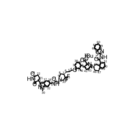 Cc1c(OCCC[C@@H]2CCN(CC(=O)Nc3ccc4c(C5CCC(=O)NC5=O)nn(C)c4c3)CC2(F)F)cccc1-c1ccc(N2CCc3cccc(C(=O)Nc4nc5ccccc5s4)c3C2)nc1C(=O)OC(C)(C)C